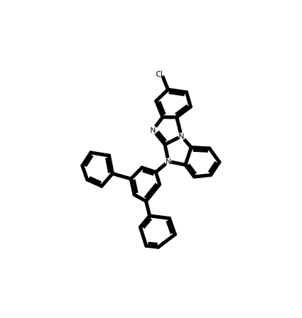 Clc1ccc2c(c1)nc1n(-c3cc(-c4ccccc4)cc(-c4ccccc4)c3)c3ccccc3n21